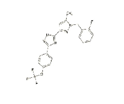 Cc1cc(-c2nc(-c3ccc(OC(F)(F)F)cc3)no2)nn1Cc1ccccc1F